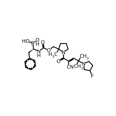 CC(C)(C=C(C#N)C(=O)N1CCCC1(C)COC(=O)N[C@@H](Cc1ccccc1)B(O)O)N1CCC(F)C1